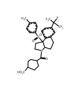 Cc1ccc(S(=O)(=O)C23CCN(C(=O)C4CCC(C(=O)O)CC4)C2CCc2cc(C(F)(C(F)(F)F)C(F)(F)F)ccc23)cc1